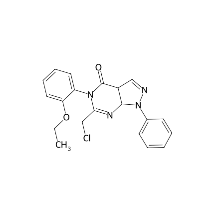 CCOc1ccccc1N1C(=O)C2C=NN(c3ccccc3)C2N=C1CCl